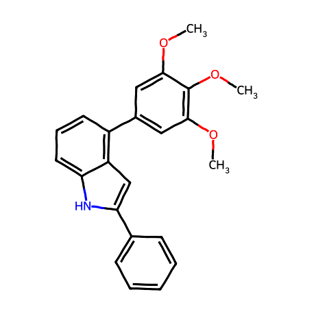 COc1cc(-c2cccc3[nH]c(-c4ccccc4)cc23)cc(OC)c1OC